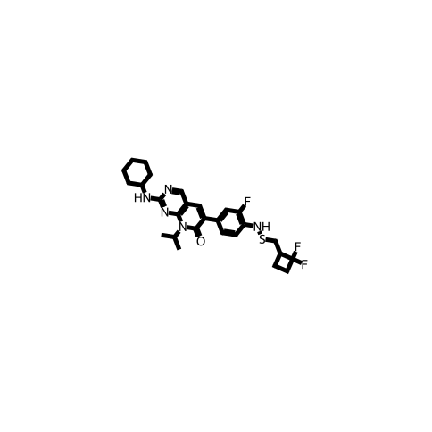 CC(C)n1c(=O)c(-c2ccc(NSCC3CCC3(F)F)c(F)c2)cc2cnc(NC3CCCCC3)nc21